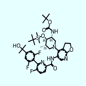 C[C@H]1CN(c2c(NC(=O)c3ccc(F)c(-c4c(F)cc(C(C)(C)O)cc4F)n3)cnc3c2CCO3)C[C@@H](NC(=O)OC(C)(C)C)[C@@H]1O[Si](C)(C)C(C)(C)C